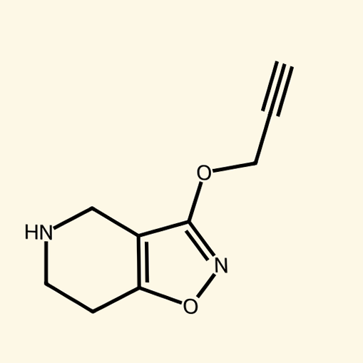 C#CCOc1noc2c1CNCC2